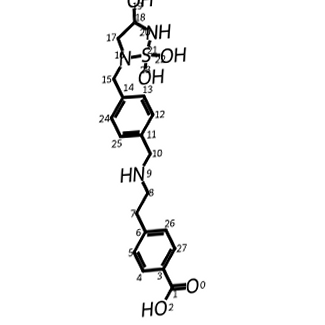 O=C(O)c1ccc(CCNCc2ccc(CN3CC(O)NS3(O)O)cc2)cc1